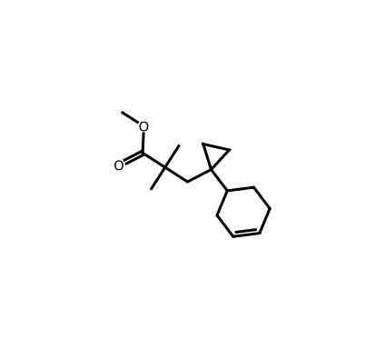 COC(=O)C(C)(C)CC1(C2CC=CCC2)CC1